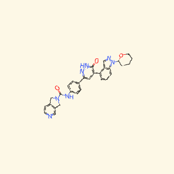 O=C(Nc1ccc(-c2cc(-c3cccc4c3cnn4C3CCCCO3)c(=O)[nH]n2)cc1)N1Cc2ccncc2C1